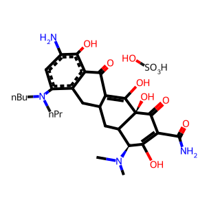 CCCCN(CCC)c1cc(N)c(O)c2c1CC1CC3[C@H](N(C)C)C(O)=C(C(N)=O)C(=O)[C@@]3(O)C(O)=C1C2=O.O=S(=O)(O)O